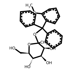 COc1ccccc1C(O[C@@]1(C)O[C@H](CO)[C@@H](O)[C@H](O)[C@@H]1O)(c1ccccc1)c1ccccc1